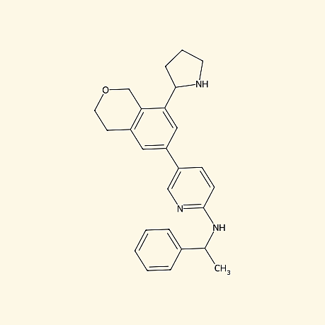 CC(Nc1ccc(-c2cc3c(c(C4CCCN4)c2)COCC3)cn1)c1ccccc1